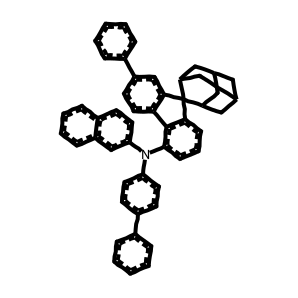 c1ccc(-c2ccc(N(c3ccc4ccccc4c3)c3cccc4c3-c3ccc(-c5ccccc5)cc3C43C4CC5CC(C4)CC3C5)cc2)cc1